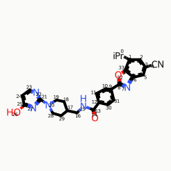 CC(C)c1cc(C#N)cc2nc(-c3ccc(C(=O)NCC4CCN(c5nccc(O)n5)CC4)cc3)oc12